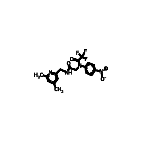 Cc1cc(C)nc(CNC(=O)CN(C(=O)C(F)(F)F)c2ccc([N+](=O)[O-])cc2)c1